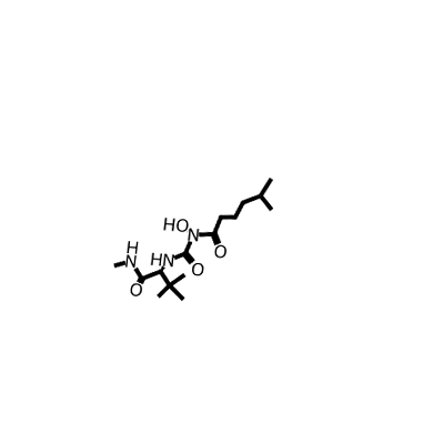 CNC(=O)[C@@H](NC(=O)N(O)C(=O)CCCC(C)C)C(C)(C)C